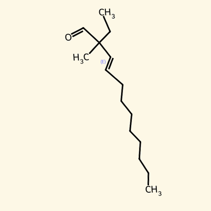 CCCCCCCC/C=C/C(C)(C=O)CC